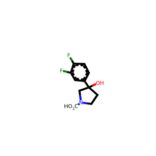 O=C(O)N1CCC(O)(c2ccc(F)c(F)c2)C1